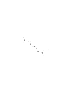 CC(C)CCCNC(C)O